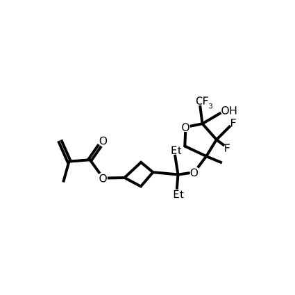 C=C(C)C(=O)OC1CC(C(CC)(CC)OC2(C)COC(O)(C(F)(F)F)C2(F)F)C1